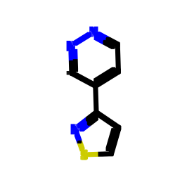 [c]1nnccc1-c1ccsn1